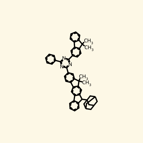 CC1(C)c2ccccc2-c2cc(-c3nc(-c4ccccc4)nc(-c4ccc5c(c4)C(C)(C)c4cc6c(cc4-5)-c4ccccc4C6C45CC6CC(CC(C6)C4)C5)n3)ccc21